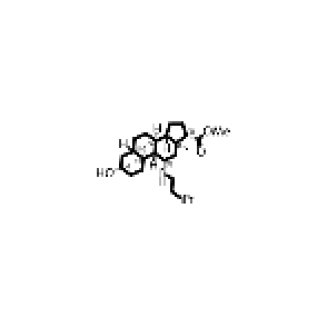 COC(=O)[C@H]1CC[C@H]2[C@@H]3CC[C@H]4C[C@@H](O)CC[C@]4(C)[C@H]3[C@H](NCCC(C)C)C[C@]12C